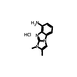 Cc1cn2c3cccc(N)c3nc2n1C.Cl